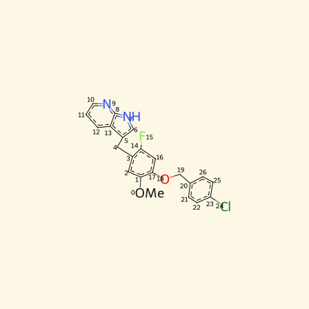 COc1cc(Cc2c[nH]c3ncccc23)c(F)cc1OCc1ccc(Cl)cc1